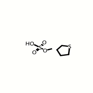 C1CCSC1.COS(=O)(=O)O